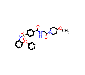 COC1CCN(C(=O)CNC(=O)c2ccc(S(=O)(=O)Nc3ccccc3Oc3ccccc3)cc2)CC1